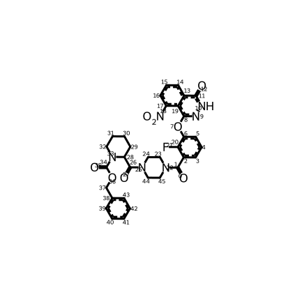 O=C(c1cccc(Oc2n[nH]c(=O)c3cccc([N+](=O)[O-])c23)c1F)N1CCN(C(=O)C2CCCCN2C(=O)OCc2ccccc2)CC1